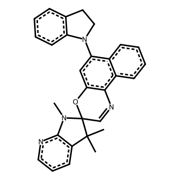 CN1c2ncccc2C(C)(C)C12C=Nc1c(cc(N3CCc4ccccc43)c3ccccc13)O2